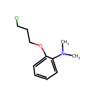 CN(C)c1c[c]ccc1OCCCCl